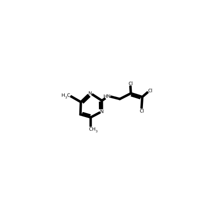 Cc1cc(C)nc(NCC(Cl)=C(Cl)Cl)n1